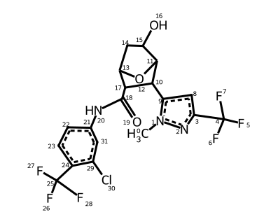 Cn1nc(C(F)(F)F)cc1C1C2OC(CC2O)C1C(=O)Nc1ccc(C(F)(F)F)c(Cl)c1